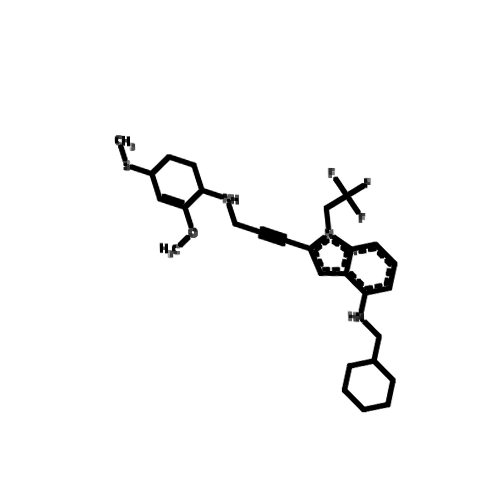 COC1=CC(SC)CCC1NCC#Cc1cc2c(NCC3CCCCC3)cccc2n1CC(F)(F)F